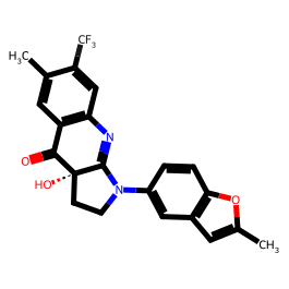 Cc1cc2cc(N3CC[C@@]4(O)C(=O)c5cc(C)c(C(F)(F)F)cc5N=C34)ccc2o1